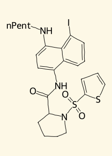 CCCCCNc1ccc(NC(=O)C2CCCCN2S(=O)(=O)c2cccs2)c2cccc(I)c12